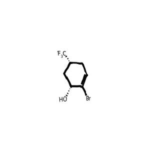 O[C@@H]1C[C@H](C(F)(F)F)CC=C1Br